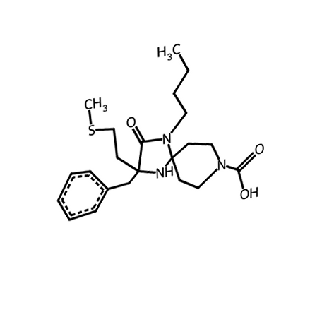 CCCCN1C(=O)C(CCSC)(Cc2ccccc2)NC12CCN(C(=O)O)CC2